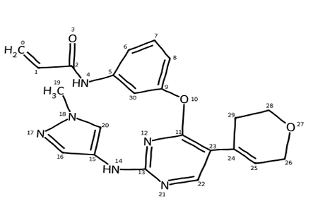 C=CC(=O)Nc1cccc(Oc2nc(Nc3cnn(C)c3)ncc2C2=CCOCC2)c1